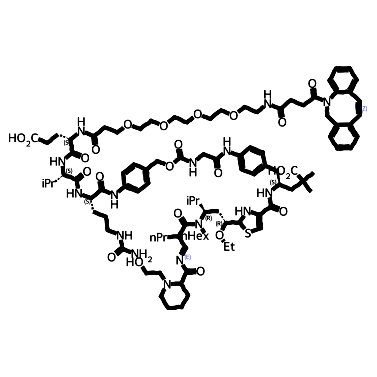 CCCCCCN(C(=O)C(/C=N/C(=O)C1CCCCN1CCO)CCC)[C@H](C[C@@H](OCC)C1NC(C(=O)N[C@@H](Cc2ccc(NC(=O)CNC(=O)OCc3ccc(NC(=O)[C@H](CCCNC(N)=O)NC(=O)[C@@H](NC(=O)[C@H](CCC(=O)O)NC(=O)CCOCCOCCOCCOCCNC(=O)CCC(=O)N4Cc5ccccc5/C=C\c5ccccc54)C(C)C)cc3)cc2)CC(C)(C)C(=O)O)=CS1)C(C)C